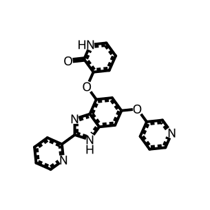 O=c1[nH]cccc1Oc1cc(Oc2cccnc2)cc2[nH]c(-c3ccccn3)nc12